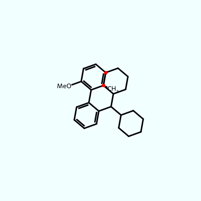 COc1cccc(C)c1-c1ccccc1C(C1CCCCC1)C1CCCCC1